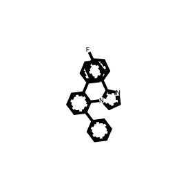 Fc1ccc(-c2nccn2-c2c(-c3ccccc3)cccc2-c2ccccc2)cc1